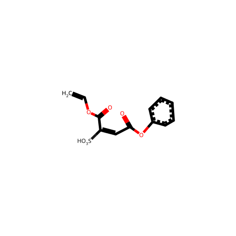 C=COC(=O)/C(=C\C(=O)Oc1ccccc1)S(=O)(=O)O